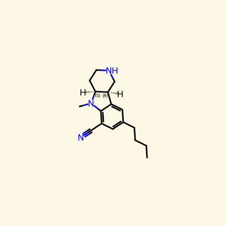 CCCCc1cc(C#N)c2c(c1)[C@@H]1CNCC[C@@H]1N2C